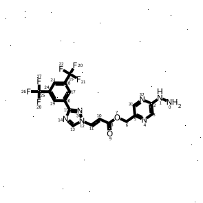 NNc1cnc(COC(=O)/C=C/n2cnc(-c3cc(C(F)(F)F)cc(C(F)(F)F)c3)n2)cn1